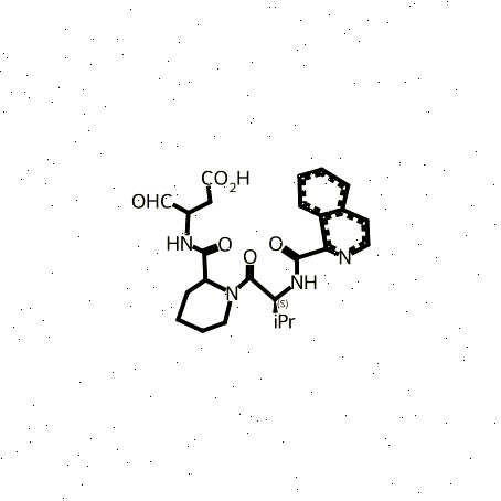 CC(C)[C@H](NC(=O)c1nccc2ccccc12)C(=O)N1CCCCC1C(=O)NC(C=O)CC(=O)O